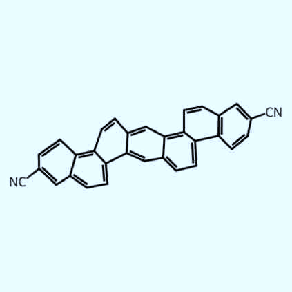 N#Cc1ccc2c(ccc3c4cc5ccc6c7ccc(C#N)cc7ccc6c5cc4ccc23)c1